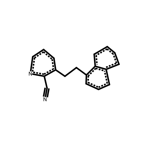 N#Cc1ncccc1CCc1cccc2ccccc12